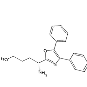 N[C@H](CCCO)c1nc(-c2ccccc2)c(-c2ccccc2)o1